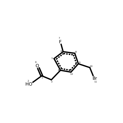 O=C(O)Cc1cc(F)cc(CBr)c1